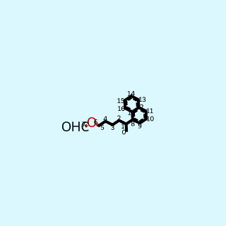 CC(CCCCOC=O)c1cccc2ccccc12